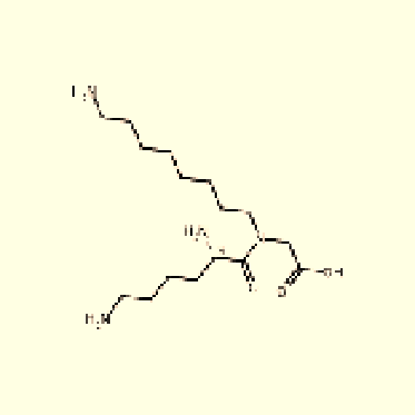 NCCCCCCCCN(CC(=O)O)C(=O)[C@@H](N)CCCCN